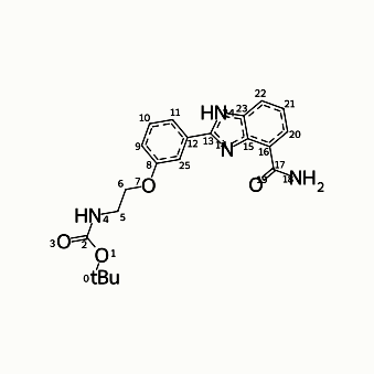 CC(C)(C)OC(=O)NCCOc1cccc(-c2nc3c(C(N)=O)cccc3[nH]2)c1